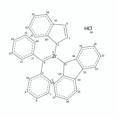 C1=C[CH]([Zr](=[C](c2ccccc2)c2ccccc2)[CH]2c3ccccc3-c3ccccc32)c2ccccc21.Cl